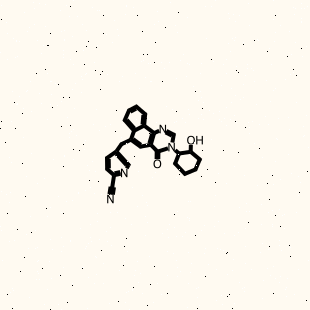 N#Cc1ccc(Cc2cc3c(=O)n(C4CCCCC4O)cnc3c3ccccc23)cn1